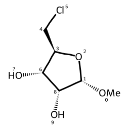 CO[C@H]1O[C@H](CCl)[C@@H](O)[C@H]1O